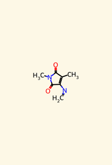 C=NC1=C(C)C(=O)N(C)C1=O